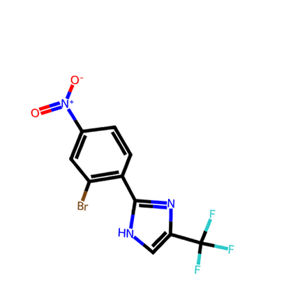 O=[N+]([O-])c1ccc(-c2nc(C(F)(F)F)c[nH]2)c(Br)c1